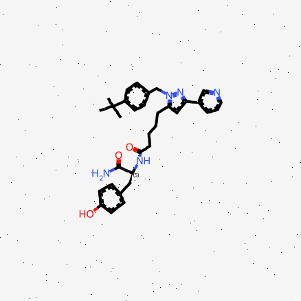 CC(C)(C)c1ccc(Cn2nc(-c3cccnc3)cc2CCCCC(=O)N[C@@H](Cc2ccc(O)cc2)C(N)=O)cc1